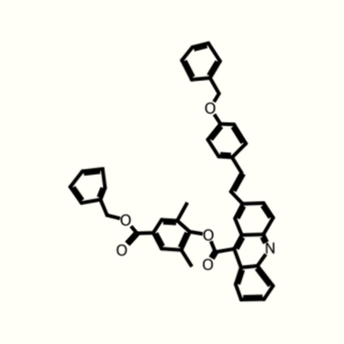 Cc1cc(C(=O)OCc2ccccc2)cc(C)c1OC(=O)c1c2ccccc2nc2ccc(C=Cc3ccc(OCc4ccccc4)cc3)cc12